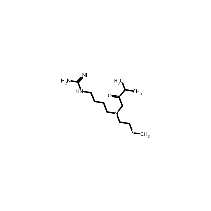 CSCCN(CCCCNC(=N)N)CC(=O)C(C)C